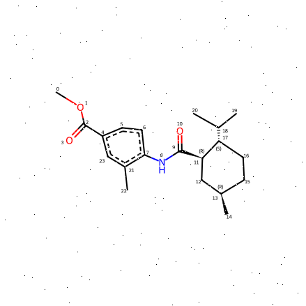 COC(=O)c1ccc(NC(=O)[C@@H]2C[C@H](C)CC[C@H]2C(C)C)c(C)c1